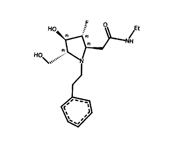 CCNC(=O)C[C@@H]1[C@@H](F)[C@H](O)[C@@H](CO)N1CCc1ccccc1